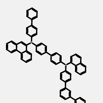 c1ccc(-c2ccc(N(c3ccc(-c4ccc(N(c5ccc(-c6cccc(-c7ccccc7)c6)cc5)c5cccc6ccccc56)cc4)cc3)c3cc4ccccc4c4ccccc34)cc2)cc1